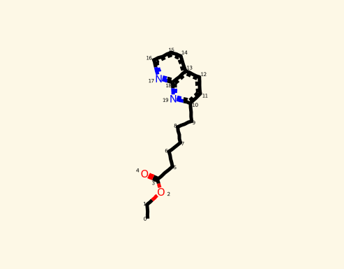 CCOC(=O)CCCCCc1ccc2cccnc2n1